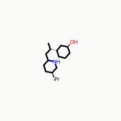 CC(C)[C@H]1CCC(CC(C)[C@H]2CCC[C@H](O)C2)NC1